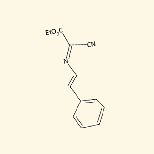 CCOC(=O)C(C#N)=NC=Cc1ccccc1